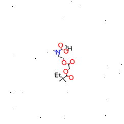 [3H]OC(=O)N(C)CCOC(=O)COC(=O)C(C)(C)CC